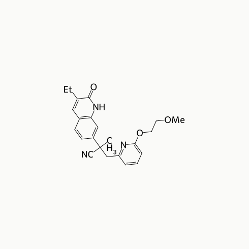 CCc1cc2ccc(C(C)(C#N)Cc3cccc(OCCOC)n3)cc2[nH]c1=O